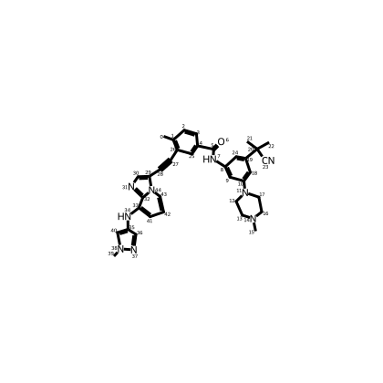 Cc1ccc(C(=O)Nc2cc(N3CCN(C)CC3)cc(C(C)(C)C#N)c2)cc1C#Cc1cnc2c(Nc3cnn(C)c3)cccn12